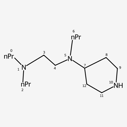 CCCN(CCC)CCN(CCC)C1CCNCC1